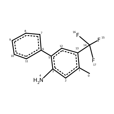 Cc1cc(N)c(-c2ccccc2)cc1C(F)(F)F